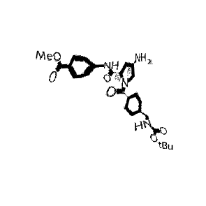 COC(=O)c1ccc(NC(=O)[C@@H]2C[C@H](N)CN2C(=O)[C@H]2CC[C@H](CNC(=O)OC(C)(C)C)CC2)cc1